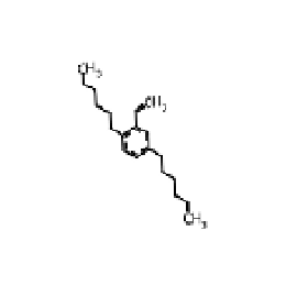 C=Cc1cc(CCCCCC)ccc1CCCCCC